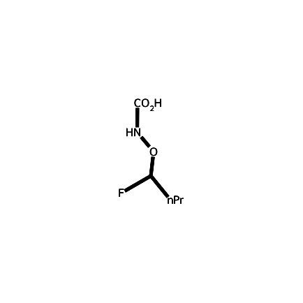 CCCC(F)ONC(=O)O